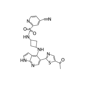 CC(=O)c1cnc(-c2cnc3[nH]ccc3c2NC2CC(NS(=O)(=O)c3cc(C#N)ccn3)C2)s1